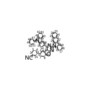 N#Cc1cccc(-c2ccc3oc4nc(-n5c6ccccc6c6cc7ccccc7cc65)nc(-c5ccc6c(c5)c5ccccc5n6-c5ccccc5)c4c3c2)c1